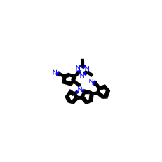 Cc1nc(C)nc(-c2cc(C#N)ccc2Cn2c3ccccc3c3ccc(-c4ccccc4C#N)cc32)n1